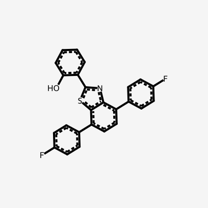 Oc1ccccc1-c1nc2c(-c3ccc(F)cc3)ccc(-c3ccc(F)cc3)c2s1